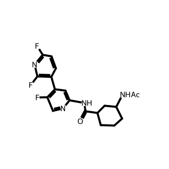 CC(=O)NC1CCCC(C(=O)Nc2cc(-c3ccc(F)nc3F)c(F)cn2)C1